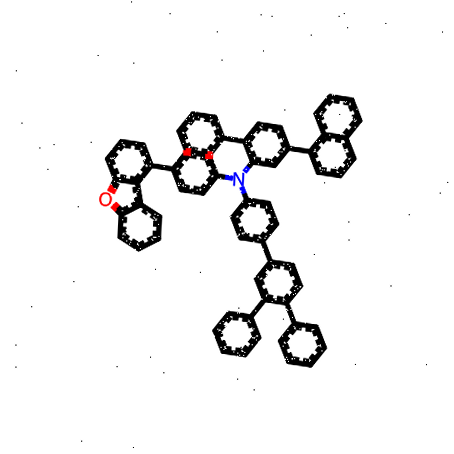 c1ccc(-c2ccc(-c3ccc(N(c4ccc(-c5cccc6oc7ccccc7c56)cc4)c4cc(-c5cccc6ccccc56)ccc4-c4ccccc4)cc3)cc2-c2ccccc2)cc1